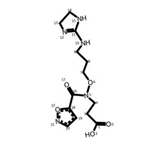 O=C(O)CCN(OCCCNC1=NCCN1)C(=O)c1ccno1